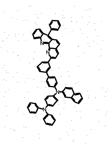 c1ccc(-c2c3ccccc3nc3c2ccc2ccc(-c4cccc(-c5ccc(N(c6ccc(N(c7ccccc7)c7ccccc7)cc6)c6ccc7ccccc7c6)cc5)c4)nc23)cc1